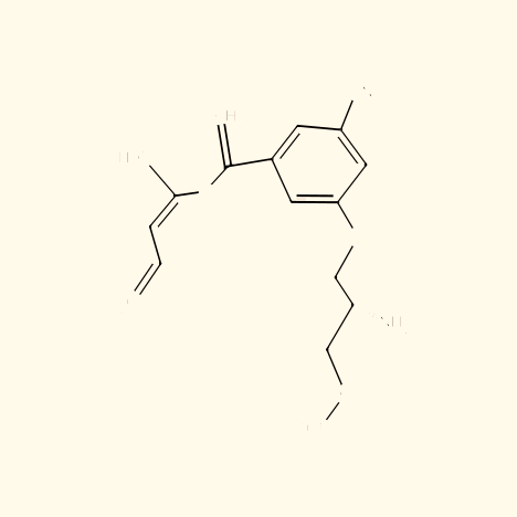 C=C/C=C(/C)SC(=C)c1cc(C#N)cc(OC[C@H](N)COCCC)c1